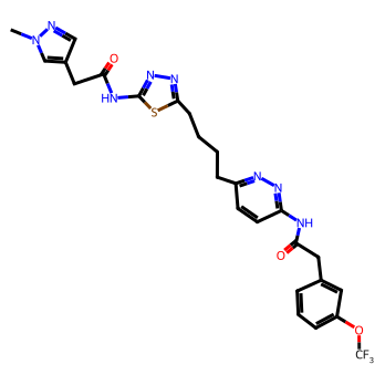 Cn1cc(CC(=O)Nc2nnc(CCCCc3ccc(NC(=O)Cc4cccc(OC(F)(F)F)c4)nn3)s2)cn1